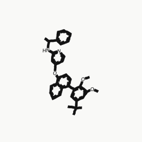 COc1cc(C(C)(C)C)cc(-c2ccc(Oc3ccnc(NC(C)c4ccccc4)c3)c3ccccc23)c1OC